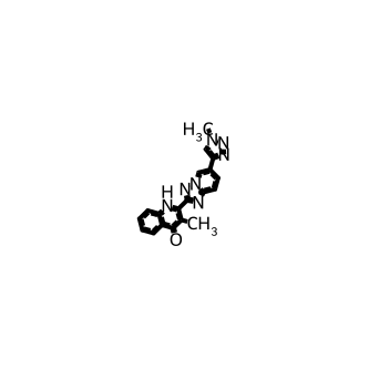 Cc1c(-c2nc3ccc(-c4cn(C)nn4)cn3n2)[nH]c2ccccc2c1=O